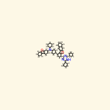 c1ccc(C2=NC(c3ccc(-c4ccc(N(c5ccccc5)c5ccc6c(c5)oc5ccccc56)cc4)c4c3oc3cc5ccccc5cc34)=NC(c3ccccc3)N2)cc1